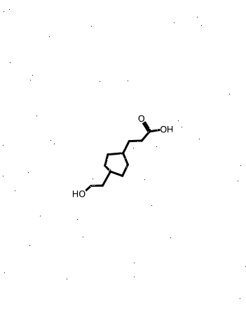 O=C(O)CCC1CC[C](CCO)CC1